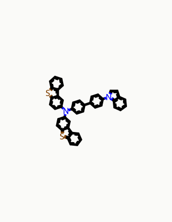 c1ccc2c(c1)ccn2-c1ccc(-c2ccc(N(c3ccc4sc5ccccc5c4c3)c3ccc4sc5ccccc5c4c3)cc2)cc1